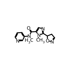 CN(C(=O)c1cnc(C2CC=NO2)n1C)c1cccnc1